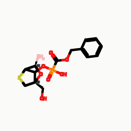 B[C@@H]1O[C@@]2(CO)CSC1C2OP(=O)(O)C(=O)OCc1ccccc1